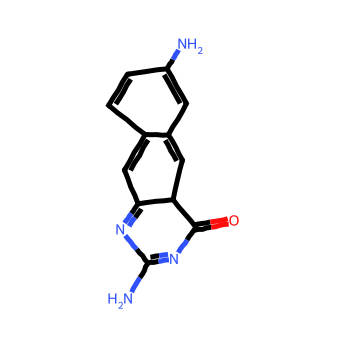 NC1=NC(=O)C2C=c3cc(N)ccc3=CC2=N1